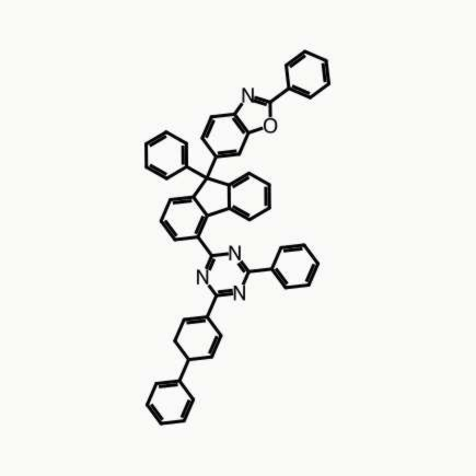 C1=CC(c2ccccc2)CC=C1c1nc(-c2ccccc2)nc(-c2cccc3c2-c2ccccc2C3(c2ccccc2)c2ccc3nc(-c4ccccc4)oc3c2)n1